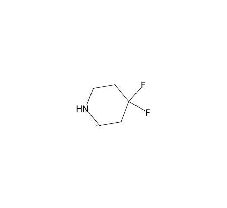 FC1(F)C[CH]NCC1